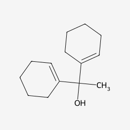 CC(O)(C1=CCCCC1)C1=CCCCC1